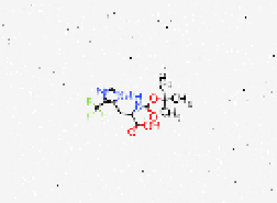 CC(C)(C)OC(=O)NC(Cc1[nH]cnc1C(F)(F)F)C(=O)O